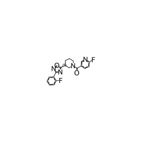 O=C(c1ccc(F)nc1)N1CCC[C@H](c2nc(-c3ccccc3F)no2)C1